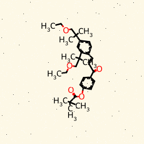 CCOCC(C)(C)c1ccc(C=CC(=O)c2ccc(OC(=O)C(C)(C)C)cc2)c(C(C)(C)COCC)c1